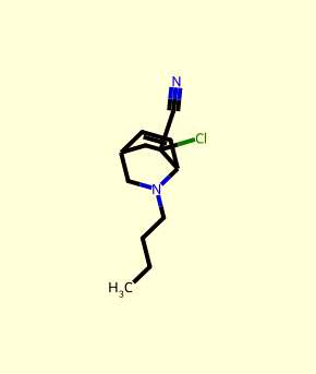 CCCCN1CC2C=CC1C(Cl)(C#N)C2